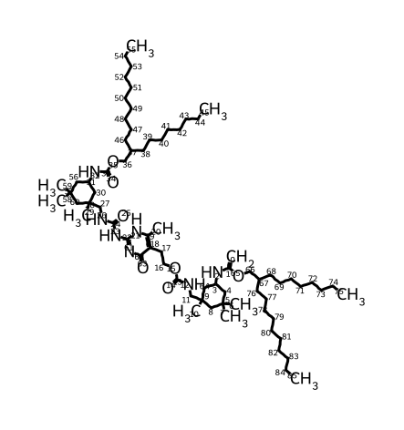 C=C(NC1CC(C)(C)CC(C)(CNC(=O)OCCc2c(C)[nH]c(NC(=O)NCC3(C)CC(NC(=O)OCC(CCCCCCCC)CCCCCCCCCC)CC(C)(C)C3)nc2=O)C1)OCC(CCCCCCCC)CCCCCCCCCC